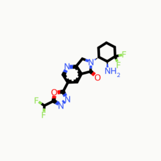 N[C@H]1[C@H](N2Cc3ncc(-c4nnc(C(F)F)o4)cc3C2=O)CCCC1(F)F